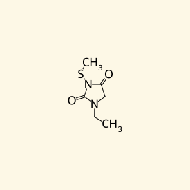 CCN1CC(=O)N(SC)C1=O